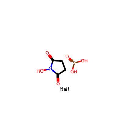 O=C1CCC(=O)N1O.O=S(O)O.[NaH]